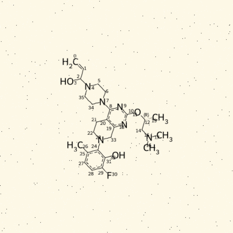 C=CC(O)N1CCN(c2nc(O[C@H](C)CN(C)C)nc3c2CCN(c2c(C)ccc(F)c2O)C3)CC1